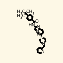 CC(C)(C)c1ccc(C(=O)Nc2cn3nc(N4CCN(Cc5ccccn5)CC4)ccc3n2)cc1